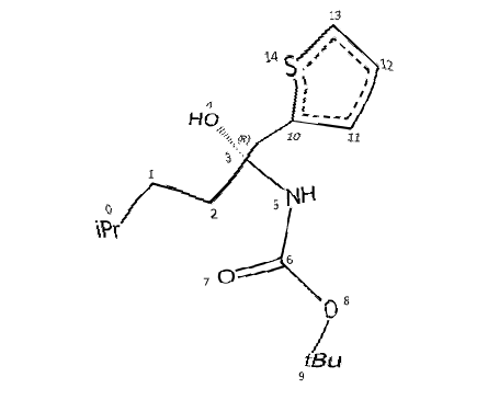 CC(C)CC[C@](O)(NC(=O)OC(C)(C)C)c1cccs1